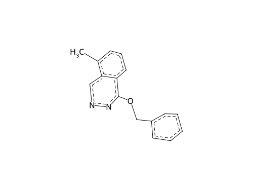 Cc1cccc2c(OCc3ccccc3)nncc12